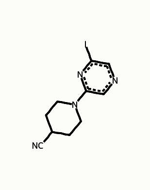 N#CC1CCN(c2cncc(I)n2)CC1